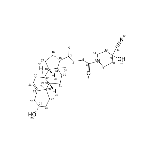 C[C@H](CCC(=O)N1CCC(O)(C#N)CC1)[C@H]1CC[C@H]2[C@@H]3CC=C4C[C@@H](O)CC[C@]4(C)[C@H]3CC[C@]12C